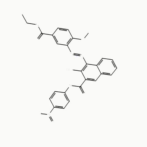 CCNC(=O)c1ccc(OC)c(/N=N/c2c(O)c(C(=O)Nc3ccc([N+](=O)[O-])cc3)cc3ccccc23)c1